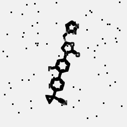 N#CC1(c2ccc(-c3ccc(N4C[C@H](Cn5ccnn5)OC4=O)cc3F)cn2)CC1